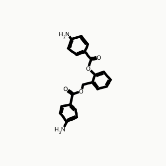 Nc1ccc(C(=O)OCc2ccccc2OC(=O)c2ccc(N)cc2)cc1